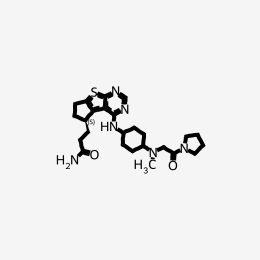 CN(CC(=O)N1CCCC1)C1CCC(Nc2ncnc3sc4c(c23)[C@@H](CCC(N)=O)CC4)CC1